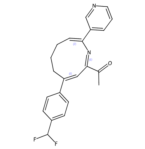 CC(=O)C1=N/C(c2cccnc2)=C\CCC/C(c2ccc(C(F)F)cc2)=C\1